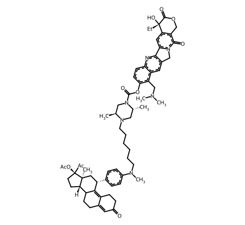 CC[C@@]1(O)C(=O)OCc2c1cc1n(c2=O)Cc2cc3c(CN(C)C)c(OC(=O)N4C[C@H](C)N(CCCCCCN(C)c5ccc([C@H]6C[C@@]7(C)[C@@H](CC[C@]7(OC(C)=O)C(C)=O)C7CCC8=CC(=O)CCC8=C76)cc5)C[C@H]4C)ccc3nc2-1